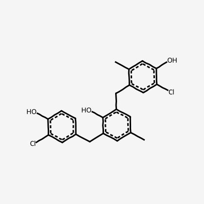 Cc1cc(Cc2ccc(O)c(Cl)c2)c(O)c(Cc2cc(Cl)c(O)cc2C)c1